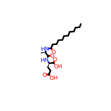 CCCCCCCCCCCC(=O)N[C@H](C)C(=O)N[C@H](CCC(=O)O)C(=O)O